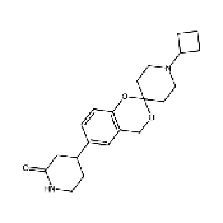 O=C1CC(c2ccc3c(c2)COC2(CCN(C4CCC4)CC2)O3)CCN1